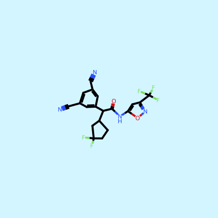 N#Cc1cc(C#N)cc(C(C(=O)Nc2cc(C(F)(F)F)no2)C2CCC(F)(F)C2)c1